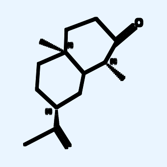 C=C(C)[C@@H]1CC[C@@]2(C)CCC(=O)[C@H](C)C2C1